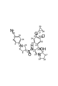 N#Cc1ccc(N2CC[C@H](C(=O)N[C@H](CN3CCCC3)[C@H](O)c3ccc(OC4CC4)c(Cl)c3)C2)cc1